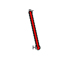 CC(C)(C)OC(=O)NCCOCCOCCOCCOCCOCCOCCOCCOCCOCCOCCOCCOCCOCCOCCOCCOCCOCCOCCOCCOCCOCCOCCOCCOCCOCCOCCOCCOCCBr